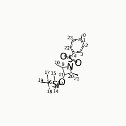 Cc1ccc(S(=O)(=O)N2C(C)C(O[Si](C)(C)C(C)(C)C)[C@@H]2C)cc1